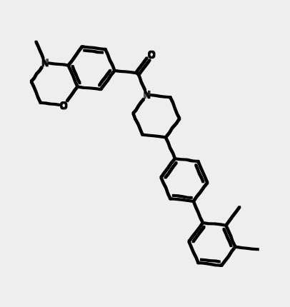 Cc1cccc(-c2ccc(C3CCN(C(=O)c4ccc5c(c4)OCCN5C)CC3)cc2)c1C